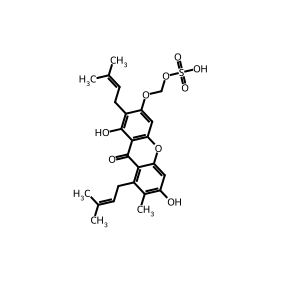 CC(C)=CCc1c(OCOS(=O)(=O)O)cc2oc3cc(O)c(C)c(CC=C(C)C)c3c(=O)c2c1O